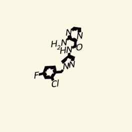 Nc1nccnc1C(=O)Nc1cnn(Cc2ccc(F)cc2Cl)c1